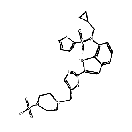 CCS(=O)(=O)N1CCN(Cc2cnc(-c3cc4cccc(N(CC5CC5)S(=O)(=O)c5cccs5)c4[nH]3)s2)CC1